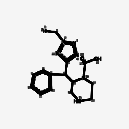 [2H]Cn1nnc(C(c2ccccc2)C2CNCCN2C(=O)O)n1